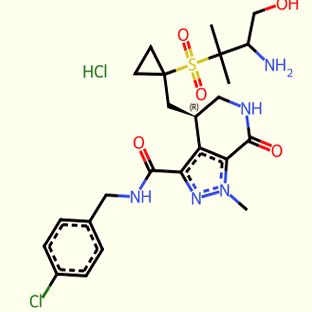 Cl.Cn1nc(C(=O)NCc2ccc(Cl)cc2)c2c1C(=O)NC[C@@H]2CC1(S(=O)(=O)C(C)(C)C(N)CO)CC1